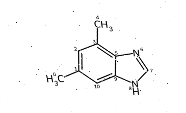 Cc1cc(C)c2nc[nH]c2c1